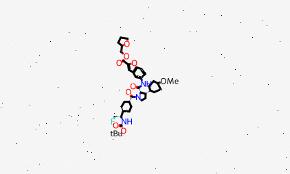 COC1CCC([C@@H]2CCN(C(=O)[C@H]3CC[C@H]([C@@H](CF)NC(=O)OC(C)(C)C)CC3)[C@@H]2C(=O)Nc2ccc3oc(C(=O)OCC4CCCO4)cc3c2)CC1